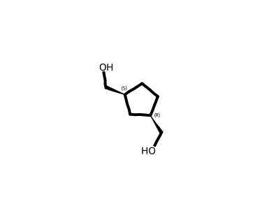 OC[C@@H]1CC[C@H](CO)C1